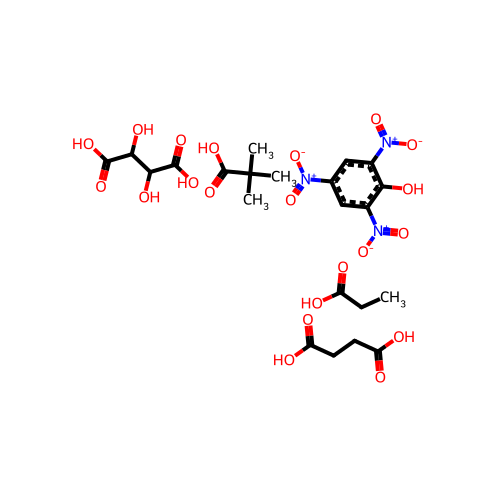 CC(C)(C)C(=O)O.CCC(=O)O.O=C(O)C(O)C(O)C(=O)O.O=C(O)CCC(=O)O.O=[N+]([O-])c1cc([N+](=O)[O-])c(O)c([N+](=O)[O-])c1